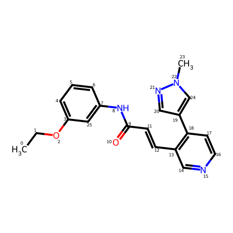 CCOc1cccc(NC(=O)/C=C/c2cnccc2-c2cnn(C)c2)c1